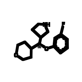 Fc1cccc(O[C@@H](C2CCOCC2)C2CCNC2)c1